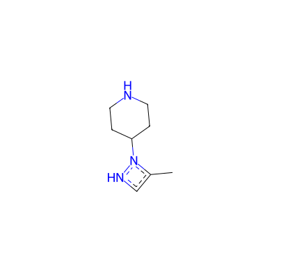 Cc1c[nH]n1C1CCNCC1